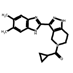 Cc1cc2nc(-c3n[nH]c4c3CN(C(=O)C3CC3)CC4)[nH]c2cc1C